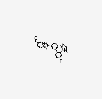 Cn1cnnc1-c1cc(F)ccc1-c1cccc(-c2cn3cc(C=O)ccc3n2)c1